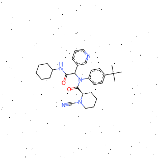 CC(C)(C)c1ccc(N(C(=O)[C@H]2CCCCN2C#N)C(C(=O)NC2CCCCC2)c2cccnc2)cc1